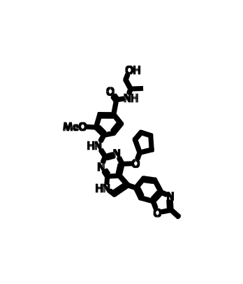 COc1cc(C(=O)NC(C)CO)ccc1Nc1nc(OC2CCCC2)c2c(-c3ccc4nc(C)oc4c3)c[nH]c2n1